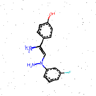 N/C(=C\N(N)c1cccc(F)c1)c1ccc(O)cc1